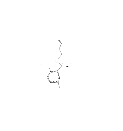 C=CCCO[C@@H](CO)c1cc(F)ccc1OC